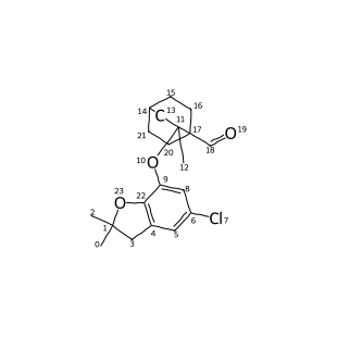 CC1(C)Cc2cc(Cl)cc(OC3(C)CC4CCC3(C=O)CC4)c2O1